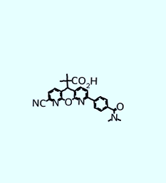 CN(C)C(=O)c1ccc(-c2ccc3c(n2)Oc2nc(C#N)ccc2C3C(C)(C)C(=O)O)cc1